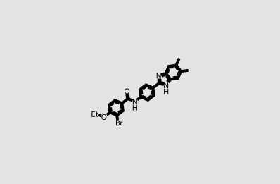 CCOc1ccc(C(=O)Nc2ccc(-c3nc4cc(C)c(C)cc4[nH]3)cc2)cc1Br